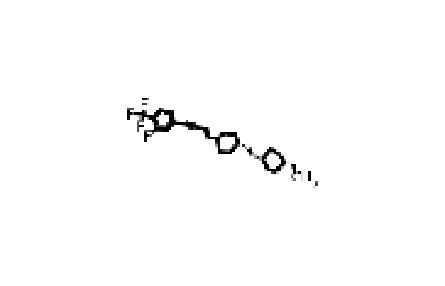 CC[C@H]1CC[C@H](CC[C@H]2CC[C@H](C=CC#Cc3ccc(C(F)(F)F)c(F)c3)CC2)CC1